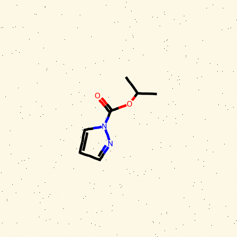 CC(C)OC(=O)n1[c]ccn1